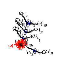 CCCCCCCCCCCC[N+](C)(C)CCCCCCCCCCCC.CCCCCCCCCCCC[N+](C)(C)CCCCCCCCCCCC.CCCCCCCCCCCC[N+](C)(C)CCCCCCCCCCCC.CCCCCCCCCCCC[N+](C)(C)CCCCCCCCCCCC.O=P([O-])([O-])O[C@@H]1[C@H](OP(=O)([O-])[O-])[C@@H](OP(=O)(O)O)[C@H](OP(=O)(O)O)[C@@H](OP(=O)(O)O)[C@@H]1OP(=O)(O)O